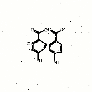 O=C([O-])c1ccc(S)cc1.O=C([O-])c1ccc(S)cc1.[Zn+2]